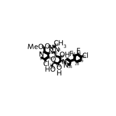 COC(=O)c1ncc(Cl)cc1-n1nc(C)nc1[C@@H]1O[C@H](CO)[C@H](O)[C@H](n2cc(-c3ccc(Cl)c(F)c3F)cn2)[C@H]1O